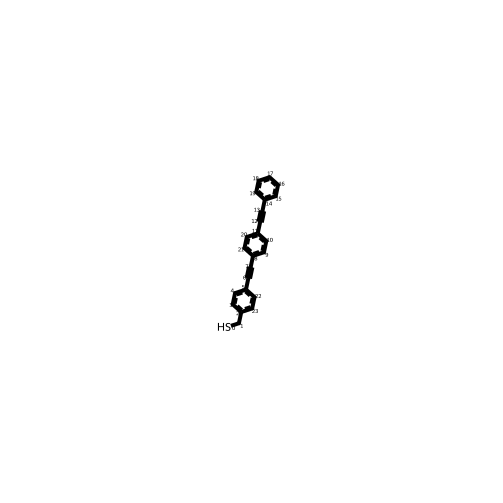 SCc1ccc(C#Cc2ccc(C#Cc3ccccc3)cc2)cc1